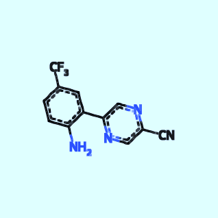 N#Cc1cnc(-c2cc(C(F)(F)F)ccc2N)cn1